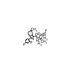 CN1CCCn2c(-c3ccc(F)cc3F)nc(C(=O)N[C@H](C(=O)NCCF)C(C)(C)C)c2C1